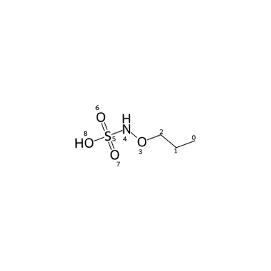 CCCONS(=O)(=O)O